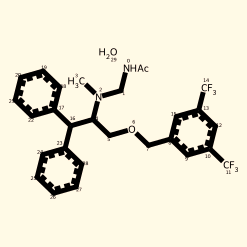 CC(=O)NCN(C)C(COCc1cc(C(F)(F)F)cc(C(F)(F)F)c1)C(c1ccccc1)c1ccccc1.O